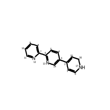 C1=CC(c2ccc(-c3ccccn3)nc2)=CCN1